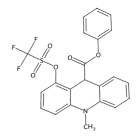 CN1c2ccccc2C(C(=O)Oc2ccccc2)c2c(OS(=O)(=O)C(F)(F)F)cccc21